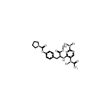 CCN(CC)c1ncc(N(CC)C(=O)C(F)(F)F)c(NC(Cc2ccc(OC(=O)N3CCCC3)cc2)C(=O)OC(C)(C)C)n1